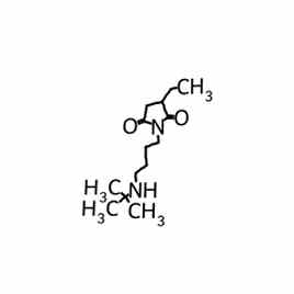 CCC1CC(=O)N(CCCCNC(C)(C)C)C1=O